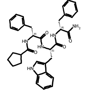 NC(=O)[C@@H](Cc1ccccc1)NC(=O)[C@H](Cc1c[nH]c2ccccc12)NC(=O)[C@@H](Cc1ccccc1)NC(=O)C1CCCC1